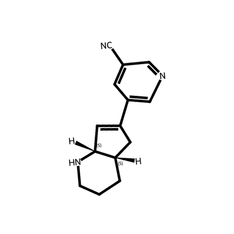 N#Cc1cncc(C2=C[C@H]3NCCC[C@H]3C2)c1